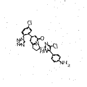 Nc1ccc(-c2[nH]c([C@@H]3CCc4cc(-c5cc(Cl)ccc5-n5cnnn5)cc(=O)n43)nc2Cl)cc1